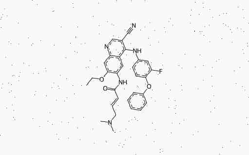 CCOc1cc2ncc(C#N)c(Nc3ccc(Oc4ccccc4)c(F)c3)c2cc1NC(=O)C=CCN(C)C